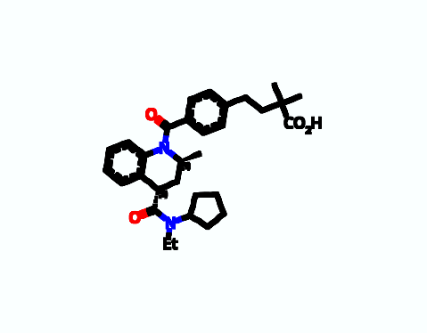 CCN(C(=O)[C@H]1C[C@H](C)N(C(=O)c2ccc(CCC(C)(C)C(=O)O)cc2)c2ccccc21)C1CCCC1